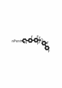 CCCCCc1ccc(-c2ccc(-c3cc(F)c(C(F)(F)Oc4ccc(-c5ccc(F)cc5)c(F)c4)c(F)c3)c(F)c2)nc1